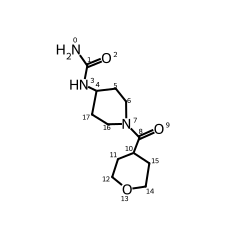 NC(=O)NC1CCN(C(=O)C2CCOCC2)CC1